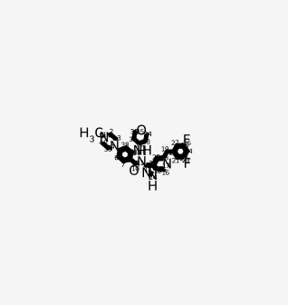 CN1CCN(c2ccc(C(=O)Nc3n[nH]c4cnc(Cc5cc(F)cc(F)c5)cc34)c(NC3CCOCC3)c2)CC1